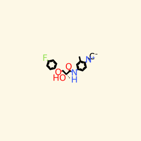 [C-]#[N+]c1ccc(NC(=O)[C@@](C)(O)COc2ccc(F)cc2)cc1C